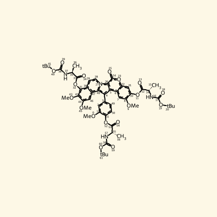 COc1cc(-c2c3c4cc(OC)c(OC(=O)[C@H](C)NC(=O)OC(C)(C)C)cc4oc(=O)c3n3ccc4c(OC(=O)[C@H](C)NC(=O)OC(C)(C)C)c(OC)c(OC)cc4c23)ccc1OC(=O)[C@H](C)NC(=O)OC(C)(C)C